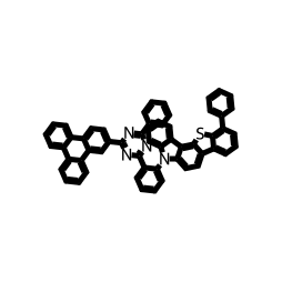 c1ccc(-c2nc(-c3ccc4c5ccccc5c5ccccc5c4c3)nc(-c3ccccc3-n3c4ccccc4c4c5sc6c(-c7ccccc7)cccc6c5ccc43)n2)cc1